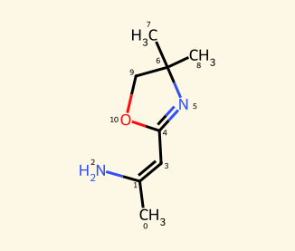 CC(N)=CC1=NC(C)(C)CO1